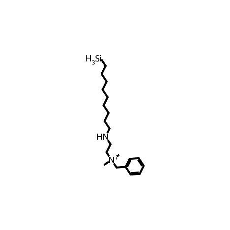 C[N+](C)(CCNCCCCCCCCC[SiH3])Cc1ccccc1